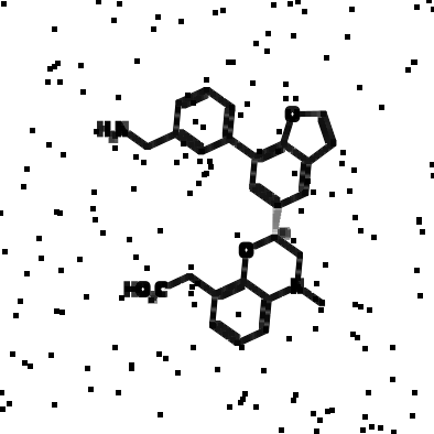 CN1C[C@@H](c2cc(-c3cccc(CN)c3)c3occc3c2)Oc2c(CC(=O)O)cccc21